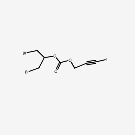 O=C(OCC#CI)OC(CBr)CBr